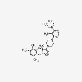 CCN(CC)c1ncnc(N2CCN(C(=O)C3(C)Oc4c(C)c(C)cc(C)c4CC3O)CC2)c1N